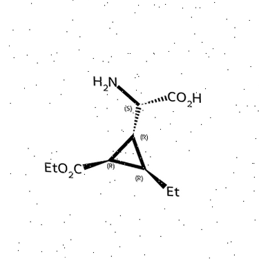 CCOC(=O)[C@@H]1[C@H](CC)[C@H]1[C@H](N)C(=O)O